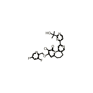 CC(C)(O)c1nccc(-c2cc3c(cn2)CCCc2cc(OCc4ncc(F)cc4F)c(Cl)c(=O)n2-3)n1